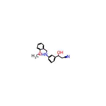 COc1ccccc1CNc1cccc(C(O)CC#N)c1